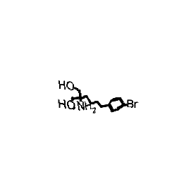 NC(CO)(CO)CCCCc1ccc(Br)cc1